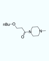 CCCCOCCC(=O)N1CCN(C)CC1